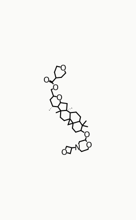 C[C@@H]1CC(COC(=O)C2CCOCC2)OC2C[C@@]3(C)C4CCC5C(C)(C)C(OC6CN(C7COC7)CCO6)CCC56CC46CCC3(C)C21